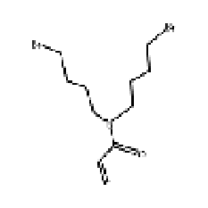 C=CC(=O)N(CCCCBr)CCCCBr